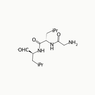 CC(C)C[C@@H]([C]=O)NC(=O)[C@H](CC(C)C)NC(=O)CN